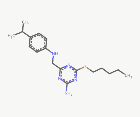 CCCCCSc1nc(N)nc(CNc2ccc(C(C)C)cc2)n1